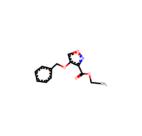 CCOC(=O)c1nocc1OCc1ccccc1